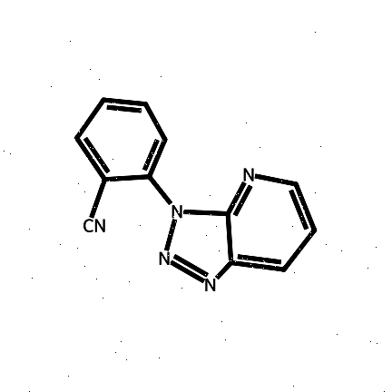 N#Cc1ccccc1-n1nnc2cccnc21